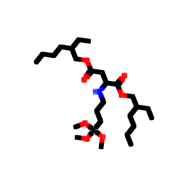 CCCCC(CC)COC(=O)CC(NCCC[Si](OC)(OC)OC)C(=O)OCC(CC)CCCC